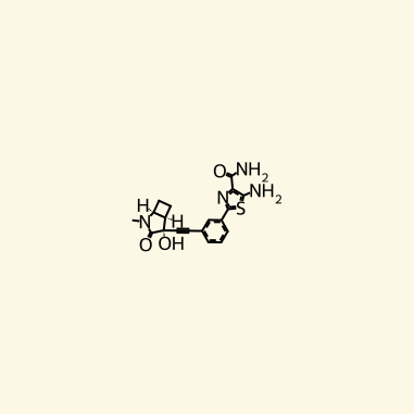 CN1C(=O)[C@](O)(C#Cc2cccc(-c3nc(C(N)=O)c(N)s3)c2)[C@@H]2CC[C@@H]21